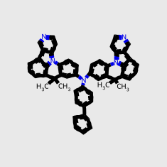 CC1(C)c2cc(N(c3ccc(-c4ccccc4)cc3)c3ccc4c(c3)C(C)(C)c3cccc5c6cnccc6n-4c35)ccc2-n2c3ccncc3c3cccc1c32